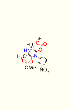 COC(=O)OC1=C(C)NC(C)=C(OC(=O)OC(C)C)N1c1cccc([N+](=O)[O-])c1